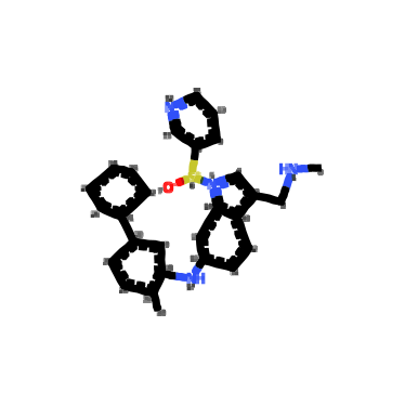 CNCc1cn([S+]([O-])c2cccnc2)c2cc(Nc3cc(-c4ccccc4)ccc3C)ccc12